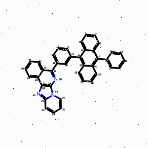 c1ccc(-c2c3ccccc3c(-c3cccc(-c4nc5c(nc6ccccn65)c5ccccc45)c3)c3ccccc23)cc1